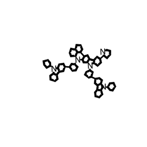 c1ccc(-n2c3ccccc3c3cc(-c4cccc(N5c6cc7c(cc6-c6cccc8cccc5c68)c5cc(-c6ccccn6)ccc5n7-c5cccc(-c6ccc7c(c6)c6ccccc6n7-c6ccccc6)c5)c4)ccc32)cc1